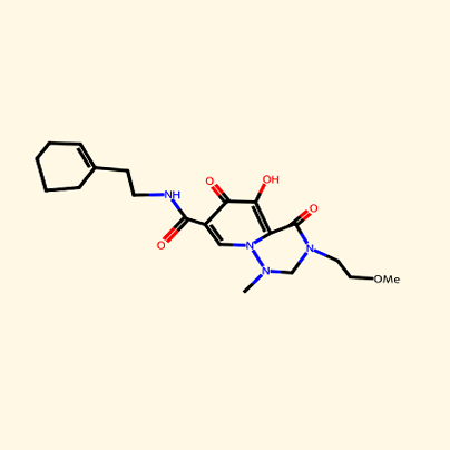 COCCN1CN(C)n2cc(C(=O)NCCC3=CCCCC3)c(=O)c(O)c2C1=O